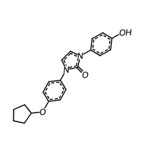 O=c1n(-c2ccc(O)cc2)ccn1-c1ccc(OC2CCCC2)cc1